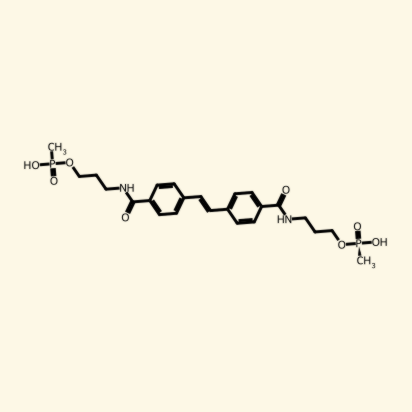 CP(=O)(O)OCCCNC(=O)c1ccc(/C=C/c2ccc(C(=O)NCCCO[P@](C)(=O)O)cc2)cc1